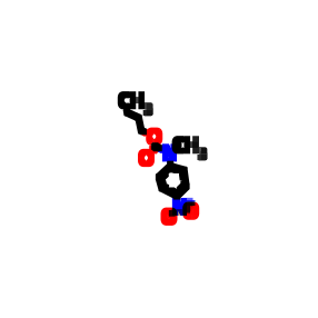 CCCCOC(=O)N(C)c1ccc([N+](=O)[O-])cc1